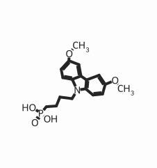 COc1ccc2c(c1)c1cc(OC)ccc1n2CCCCP(=O)(O)O